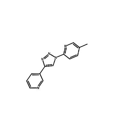 Cc1ccc(-n2cc(-c3cccnc3)nn2)nc1